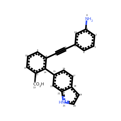 Nc1cccc(C#Cc2cccc(C(=O)O)c2-c2ccc3cc[nH]c3c2)c1